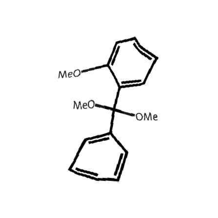 COc1ccccc1C(OC)(OC)c1ccccc1